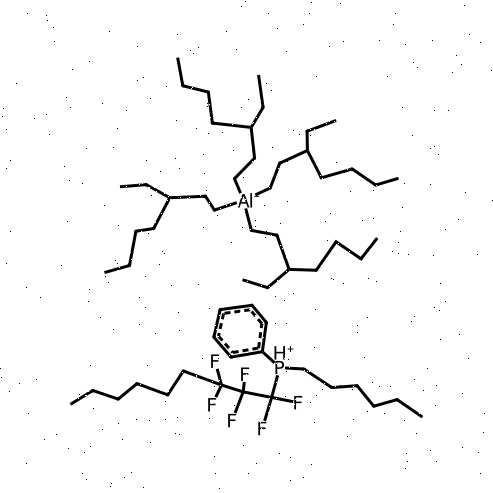 CCCCC(CC)C[CH2][Al-]([CH2]CC(CC)CCCC)([CH2]CC(CC)CCCC)[CH2]CC(CC)CCCC.CCCCCC[PH+](c1ccccc1)C(F)(F)C(F)(F)C(F)(F)CCCCCC